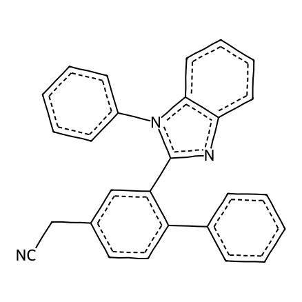 N#CCc1ccc(-c2ccccc2)c(-c2nc3ccccc3n2-c2ccccc2)c1